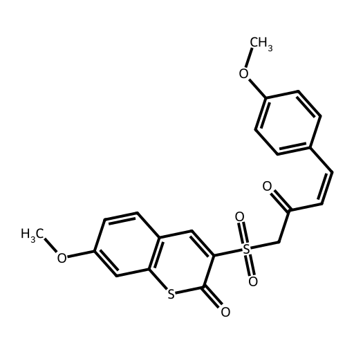 COc1ccc(/C=C\C(=O)CS(=O)(=O)c2cc3ccc(OC)cc3sc2=O)cc1